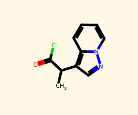 CC(C(=O)Cl)c1cnn2ccccc12